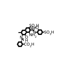 COc1cc(S(=O)(=O)O)ccc1N=Nc1c(S(=O)(=O)O)cc2cc(C)c(N=Nc3ccccc3C(=O)O)c(O)c2c1N